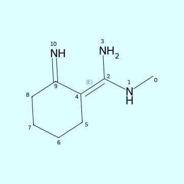 CN/C(N)=C1\CCCCC1=N